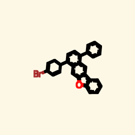 BrC1=CCC(c2ccc(-c3ccccc3)c3cc4c(cc23)oc2ccccc24)C=C1